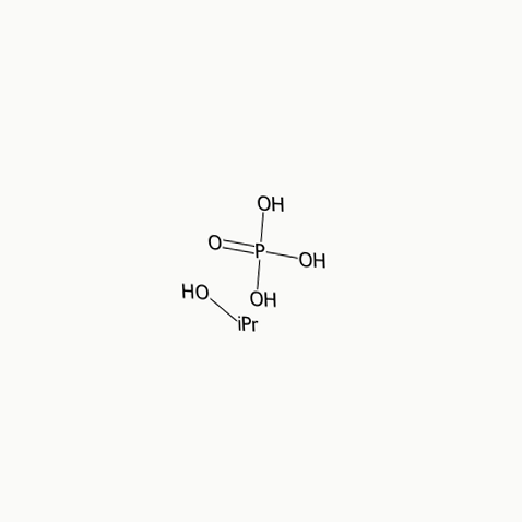 CC(C)O.O=P(O)(O)O